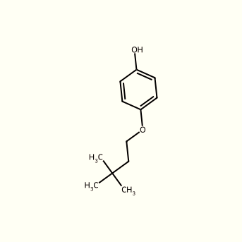 CC(C)(C)CCOc1ccc(O)cc1